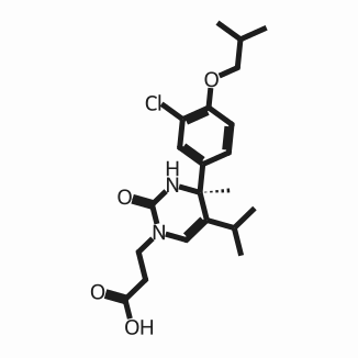 CC(C)COc1ccc([C@]2(C)NC(=O)N(CCC(=O)O)C=C2C(C)C)cc1Cl